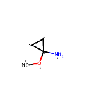 N#COC1(N)CC1